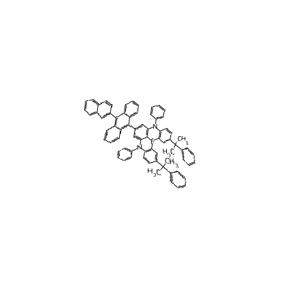 CC(C)(c1ccccc1)c1ccc2c(c1)B1c3cc(C(C)(C)c4ccccc4)ccc3N(c3ccccc3)c3cc(-c4c5ccccc5c(-c5ccc6ccccc6c5)c5ccccc45)cc(c31)N2c1ccccc1